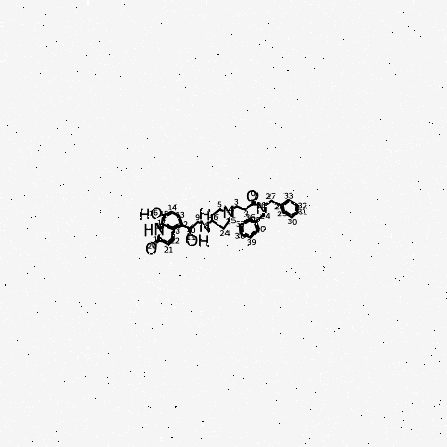 O=C(CCN1CCC(NCC(O)c2ccc(O)c3[nH]c(=O)ccc23)CC1)N(Cc1ccccc1)Cc1ccccc1